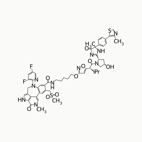 Cc1ncsc1-c1ccc([C@]2(C)NC([C@H]3C[C@@H](O)CN3C(=O)[C@H](c3cc(OCCCCCNC(=O)c4cc5c(cc4CS(C)(=O)=O)-c4cn(C)c(=O)c6[nH]cc(c46)CN5c4ncc(F)cc4F)no3)C(C)C)=NC2=O)cc1